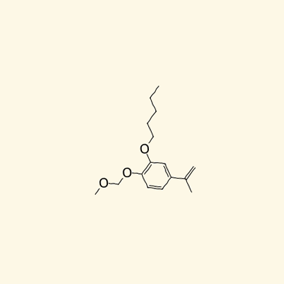 C=C(C)c1ccc(OCOC)c(OCCCCC)c1